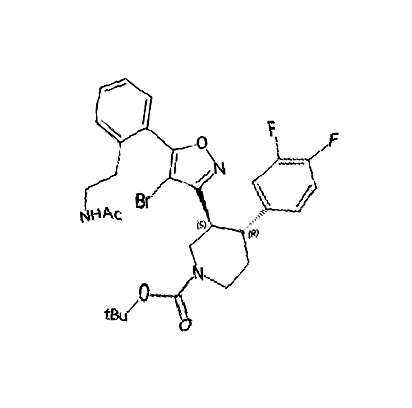 CC(=O)NCCc1ccccc1-c1onc([C@@H]2CN(C(=O)OC(C)(C)C)CC[C@H]2c2ccc(F)c(F)c2)c1Br